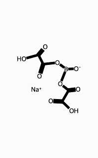 O=C(O)C(=O)OB([O-])OC(=O)C(=O)O.[Na+]